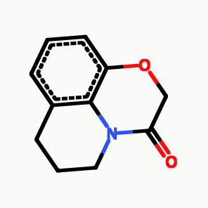 O=C1COc2cccc3c2N1CCC3